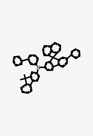 CC1(C)c2ccccc2-c2ccc(N(c3cccc(-c4ccccc4)c3)c3ccc4c(c3)C3(c5cc(-c6ccccc6)ccc5-4)c4cccc5cccc3c45)cc21